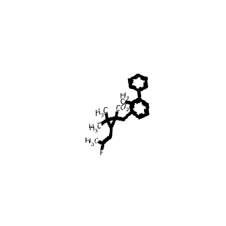 C/C(F)=C\C1C(C)(C)C1(Cc1cccc(-c2ccccc2)c1C)C(=O)O